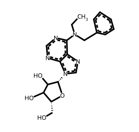 CCN(Cc1ccccc1)c1ncnc2c1ncn2[C@@H]1O[C@H](CO)C(O)C1O